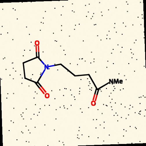 CNC(=O)CCCN1C(=O)CCC1=O